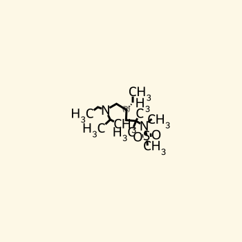 CC[C@@H](CN(CC)C(C)C)CC(C)(C)N(C)S(C)(=O)=O